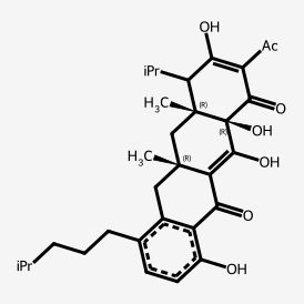 CC(=O)C1=C(O)C(C(C)C)[C@@]2(C)C[C@@]3(C)Cc4c(CCCC(C)C)ccc(O)c4C(=O)C3=C(O)[C@@]2(O)C1=O